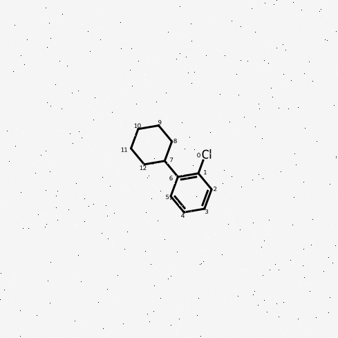 Clc1ccc[c]c1C1CCCCC1